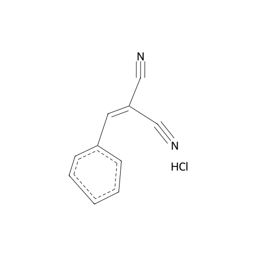 Cl.N#CC(C#N)=Cc1ccccc1